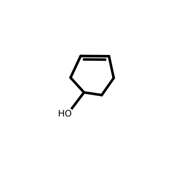 OC1CC=CCC1